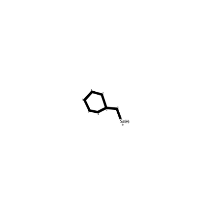 [SnH][CH2]C1CCCCC1